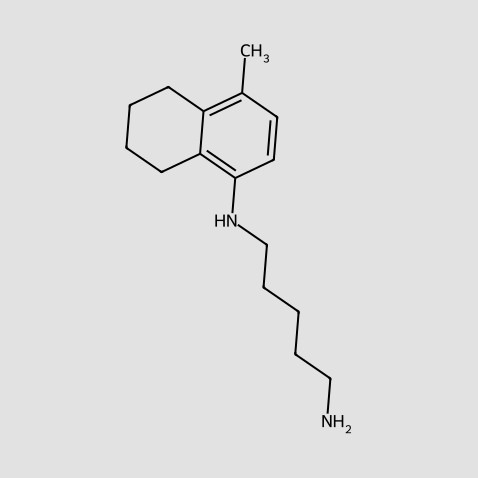 Cc1ccc(NCCCCCN)c2c1CCCC2